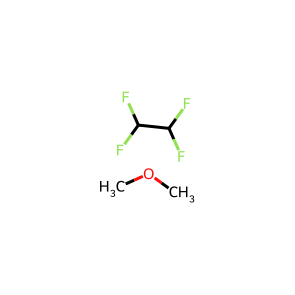 COC.FC(F)C(F)F